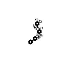 COc1cc2ncnc(Nc3ccc(NS(=O)(=O)c4ccc(-c5ccccc5)cc4)cc3)c2cc1OC